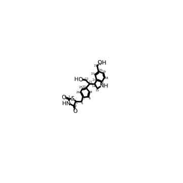 O=C1NC(=O)C(Cc2ccc(C(CO)C3CNc4ccc(CO)cc43)cc2)S1